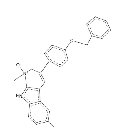 Cc1ccc2[nH]c3c(c2c1)C=C(c1ccc(OCc2ccccc2)cc1)C[N+]3(C)[O-]